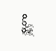 CCN(c1ncccc1[AsH]C(C)(C)C)C1CCN(Cc2ccccc2)CC1